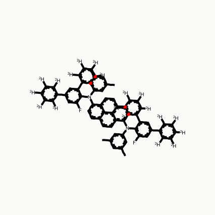 [2H]c1c([2H])c([2H])c(-c2cc(F)c(N(c3cc(C)cc(C)c3)c3ccc4ccc5c(N(c6cc(C)cc(C)c6)c6c(F)cc(-c7c([2H])c([2H])c([2H])c([2H])c7[2H])cc6-c6c([2H])c([2H])c([2H])c([2H])c6[2H])ccc6ccc3c4c65)c(-c3c([2H])c([2H])c([2H])c([2H])c3[2H])c2)c([2H])c1[2H]